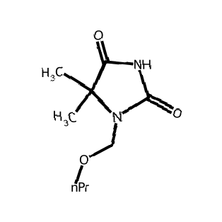 CCCOCN1C(=O)NC(=O)C1(C)C